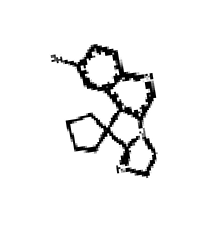 [2H]c1ccc2ncc3c(c2c1)C1(CCCC1)C1=NCCN13